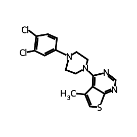 Cc1csc2ncnc(N3CCN(c4ccc(Cl)c(Cl)c4)CC3)c12